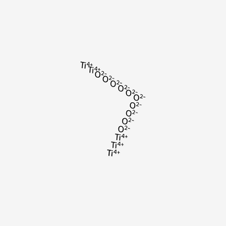 [O-2].[O-2].[O-2].[O-2].[O-2].[O-2].[O-2].[O-2].[O-2].[O-2].[Ti+4].[Ti+4].[Ti+4].[Ti+4].[Ti+4]